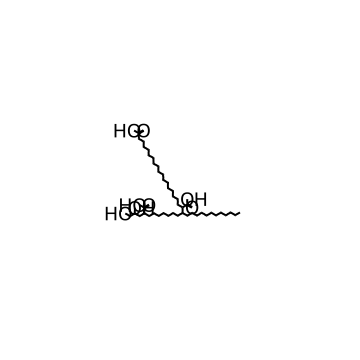 CCCCCCCCCCCCC(CCCCCCCC(CC(O)CO)C(=O)O)C(CCCCCCCCCCCCCCCCCC(=O)O)C(=O)O